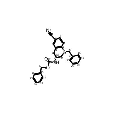 N#Cc1ccc2c(c1)C[C@@H](NC(=O)OCc1ccccc1)CN2Cc1ccccc1